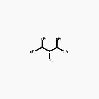 CCCCP(C(CCC)CCC)C(CCC)CCC